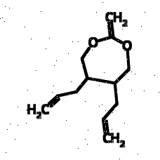 C=CCC1COC(=C)OCC1CC=C